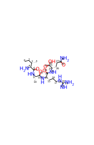 CC[C@H](C)[C@H](N)C(=O)N[C@@H](C)C(=O)N[C@@H](CCCNC(=N)N)C(=O)N[C@@H](CCC(N)=O)C(=O)O